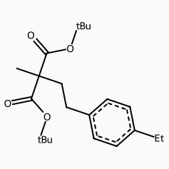 CCc1ccc(CCC(C)(C(=O)OC(C)(C)C)C(=O)OC(C)(C)C)cc1